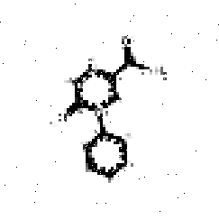 NC(=O)c1cn(-c2ccccc2)c(=O)cn1